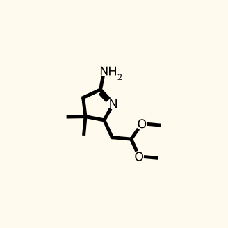 COC(CC1N=C(N)CC1(C)C)OC